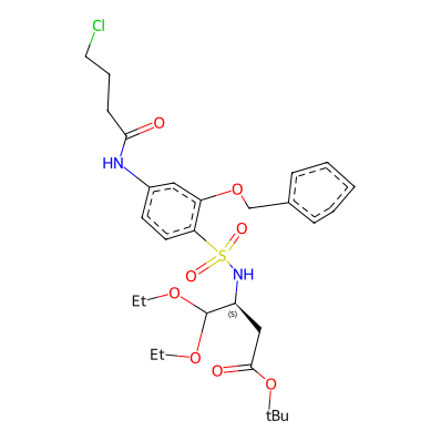 CCOC(OCC)[C@H](CC(=O)OC(C)(C)C)NS(=O)(=O)c1ccc(NC(=O)CCCCl)cc1OCc1ccccc1